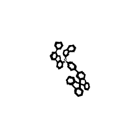 c1ccc(-c2cccc3c2Cc2c-3cccc2N(c2ccc(-c3ccc4c(c3)C3(c5ccccc5-c5ccccc53)c3ccccc3-4)cc2)c2ccc3ccccc3c2)cc1